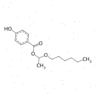 CCCCCCOC(C)OC(=O)c1ccc(O)cc1